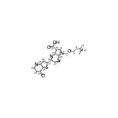 C[Si](C)(C)CCOCn1cc(C(=O)O)c2nc(-c3cc4nccc(Cl)c4s3)cnc21